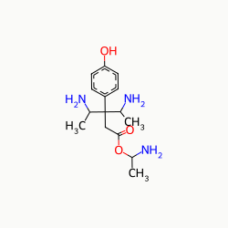 CC(N)OC(=O)CC(c1ccc(O)cc1)(C(C)N)C(C)N